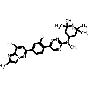 Cc1cn2nc(-c3ccc(-c4cnc(N(C)C5CC(C)(C)NC(C)(C)C5)nn4)c(O)c3)cc(C)c2n1